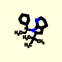 CC[C@H](c1ccccc1)n1c(C(C)(C)C)cc2cccnc21